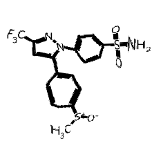 C[S+]([O-])c1ccc(-c2cc(C(F)(F)F)nn2-c2ccc(S(N)(=O)=O)cc2)cc1